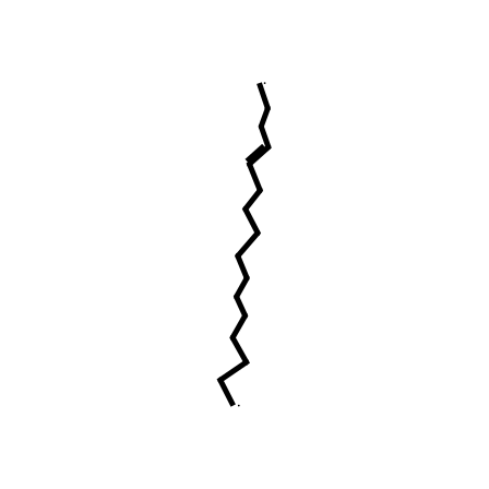 [CH2]CCC=CCCCCCCCCCC[CH2]